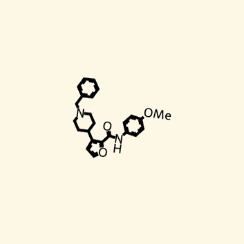 COc1ccc(NC(=O)c2occc2C2CCN(Cc3ccccc3)CC2)cc1